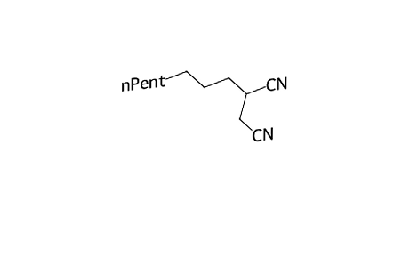 CCCCCCCCC(C#N)CC#N